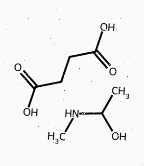 CNC(C)O.O=C(O)CCC(=O)O